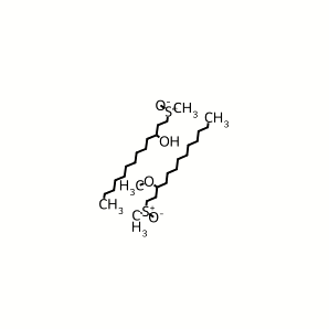 CCCCCCCCCCC(CC[S+](C)[O-])OC.CCCCCCCCCCC(O)CC[S+](C)[O-]